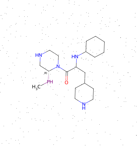 CP[C@@H]1CNCCN1C(=O)C(CC1CCNCC1)NC1CCCCC1